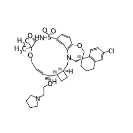 CC1(C)OCC=C[C@H](OCCN2CCCC2)[C@@H]2CC[C@H]2CN2C[C@@]3(CCCc4cc(Cl)ccc43)COc3ccc(cc32)S(=O)(=O)NC1=O